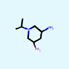 CC(C)N1CC(N)CC(P)C1